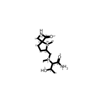 CC(O)C(C(N)=O)N(C)CC1CCC2(CNC2=O)N1C